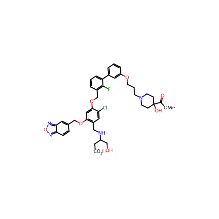 COC(=O)C1(O)CCN(CCCOc2cccc(-c3cccc(COc4cc(OCc5ccc6nonc6c5)c(CNC(CO)CC(=O)O)cc4Cl)c3F)c2)CC1